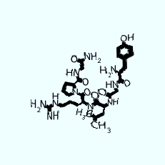 CC(C)C[C@H](NC(=O)CNC(=O)[C@@H](N)Cc1ccc(O)cc1)C(=O)N[C@@H](CCCNC(=N)N)C(=O)N1CCC[C@H]1C(=O)NCC(N)=O